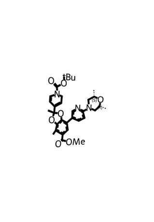 COC(=O)c1cc(-c2ccc(N3C[C@@H](C)O[C@@H](C)C3)nc2)c2c(c1C)OC(C)(C1=CCN(C(=O)OC(C)(C)C)C=C1)O2